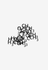 CC(NC(=O)OC(C)(C)C)C(C)C(=O)c1ccc(O[Si](C)(C)C(C)(C)C)cc1